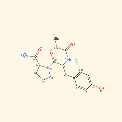 CC(C)(C)OC(=O)NC(Cc1ccc(O)cc1F)C(=O)N1CCCC1C(N)=O